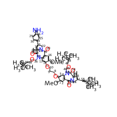 COc1cc2c(cc1OCCCOc1cc3c(cc1OC)C(=O)N1CC(c4ccc(N)cc4)=C[C@H]1C(=O)N3COCC[Si](C)(C)C)N(COCC[Si](C)(C)C)C(=O)[C@@H]1C=C(C#C[Si](C)(C)C)CN1C2=O